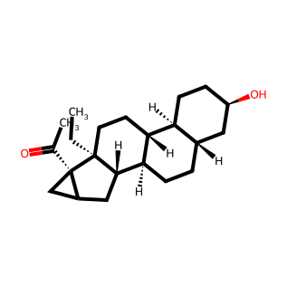 CC[C@]12CC[C@H]3[C@@H](CC[C@H]4C[C@H](O)CC[C@@H]43)[C@@H]1CC1C[C@]12C(C)=O